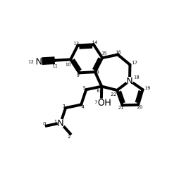 CN(C)CCCC1(O)c2cc(C#N)ccc2CCn2cccc21